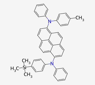 Cc1ccc(N(c2ccccc2)c2ccc3ccc4c(N(c5ccccc5)c5ccc([Si](C)(C)C)cc5)ccc5ccc2c3c54)cc1